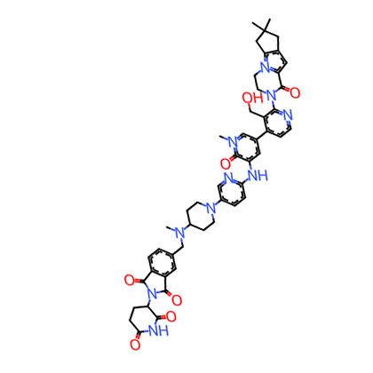 CN(Cc1ccc2c(c1)C(=O)N(C1CCC(=O)NC1=O)C2=O)C1CCN(c2ccc(Nc3cc(-c4ccnc(N5CCn6c(cc7c6CC(C)(C)C7)C5=O)c4CO)cn(C)c3=O)nc2)CC1